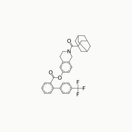 O=C(Oc1ccc2c(c1)CCN(C(=O)C13CC4CC(CC(C4)C1)C3)C2)c1ccccc1-c1ccc(C(F)(F)F)cc1